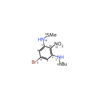 CCCCNc1cc(Br)cc(NSC)c1[N+](=O)[O-]